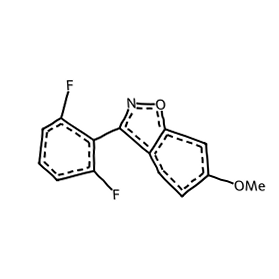 COc1ccc2c(-c3c(F)cccc3F)noc2c1